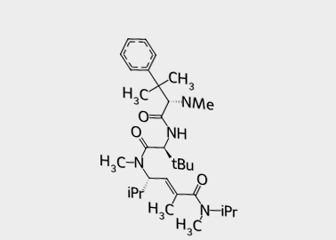 CN[C@H](C(=O)N[C@H](C(=O)N(C)[C@H](/C=C(\C)C(=O)N(C)C(C)C)C(C)C)C(C)(C)C)C(C)(C)c1ccccc1